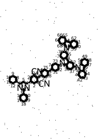 N#Cc1cc(-c2cc(-c3ccccc3)nc(-c3ccccc3)n2)cc(C#N)c1-c1ccc(-c2ccc(-n3c4ccc(-n5c6ccccc6c6ccccc65)cc4c4cc(-n5c6ccccc6c6ccccc65)ccc43)cc2)cc1